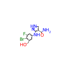 NC(=O)c1c[nH]nc1Nc1cc(F)c(Br)c(CO)c1